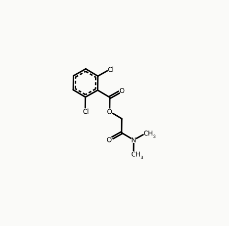 CN(C)C(=O)COC(=O)c1c(Cl)cccc1Cl